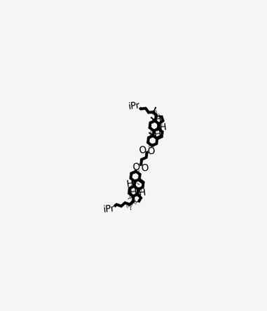 CC(C)CCC[C@@H](C)[C@H]1CC[C@H]2[C@@H]3CC=C4C[C@@H](OC(=O)CCC(=O)O[C@H]5CC[C@@]6(C)C(=CC[C@H]7[C@@H]8CC[C@H]([C@H](C)CCCC(C)C)[C@@]8(C)CC[C@@H]76)C5)CC[C@]4(C)[C@H]3CC[C@]12C